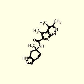 Cc1nnc2sc(C(=O)NC3(C)C=Cc4cn[nH]c4C3)c(N)c2c1C